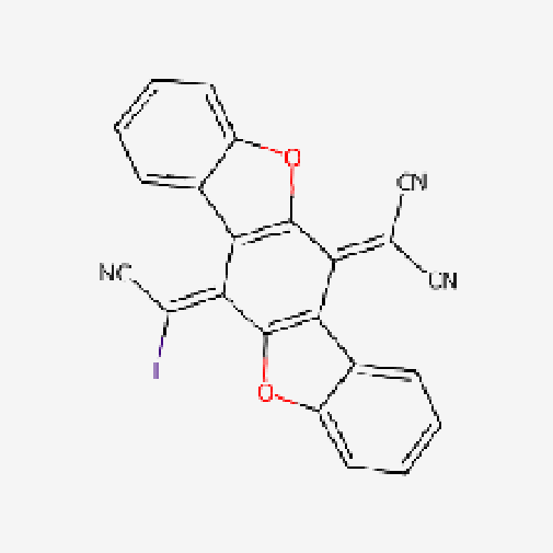 N#CC(C#N)=c1c2oc3ccccc3c2/c(=C(/I)C#N)c2oc3ccccc3c12